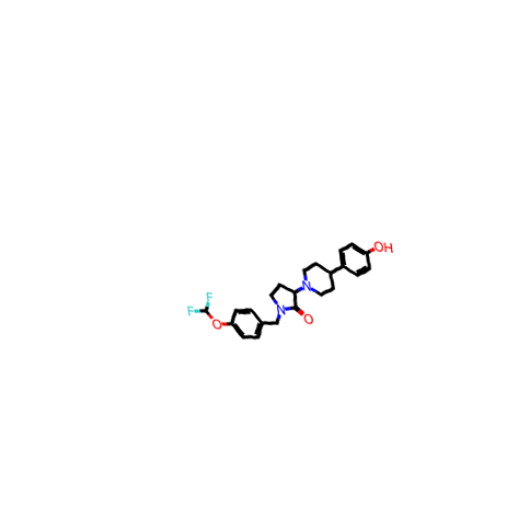 O=C1C(N2CCC(c3ccc(O)cc3)CC2)CCN1Cc1ccc(OC(F)F)cc1